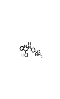 Cc1cc(N[C@H]2CC[C@@H](C(N)=O)CC2)nc2ccccc12.Cl